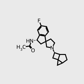 CC(=O)N[C@H]1CC2(CCN([C@@H]3CC45CC4CCC35)C2)c2ccc(F)cc21